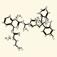 CC(OC(=O)N(C)c1ncccc1COC(=O)[C@@H](N)CCN)[n+]1cnn(CC(O)(c2ccc(F)cc2F)[C@@H](C)c2ncncc2F)c1